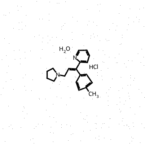 Cc1ccc(/C(=C\CN2CCCC2)c2ccccn2)cc1.Cl.O